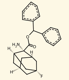 N[C@]1(C(=O)OC(c2ccccc2)c2ccccc2)[C@@H]2C[C@@H]3C[C@@H]1C[C@@](F)(C2)C3